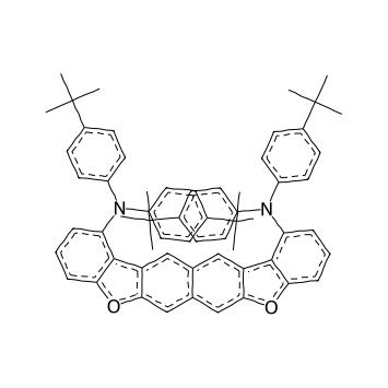 CC(C)(C)c1ccc(N(c2ccc(C(C)(C)C)cc2)c2cccc3oc4cc5cc6oc7cccc(N(c8ccc(C(C)(C)C)cc8)c8ccc(C(C)(C)C)cc8)c7c6cc5cc4c23)cc1